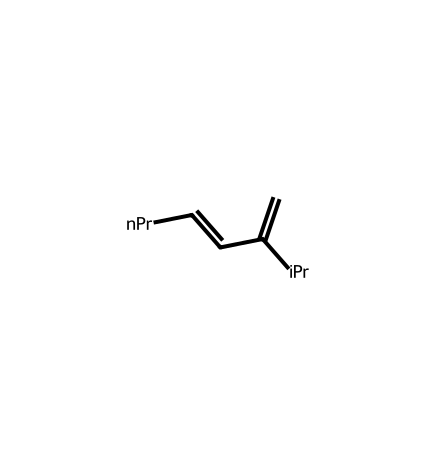 C=C(/C=C/CCC)C(C)C